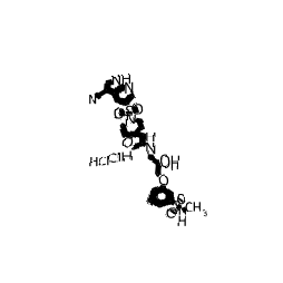 CNS(=O)(=O)c1cccc(OCC(O)CNC2COC3(CCN(S(=O)(=O)c4cnc5[nH]cc(C#N)c5c4)CC3)C2)c1.Cl.Cl